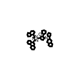 c1ccc2cc3c(cc2c1)c1ccccc1n3-c1ccc(-c2nc(-c3cccc4ccccc34)nc(-c3cc4ccccc4c4ccccc34)n2)c2oc3ccccc3c12